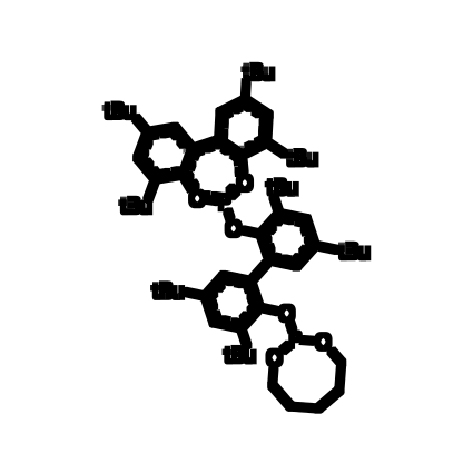 CC(C)(C)c1cc(-c2cc(C(C)(C)C)cc(C(C)(C)C)c2Op2oc3c(C(C)(C)C)cc(C(C)(C)C)cc3c3cc(C(C)(C)C)cc(C(C)(C)C)c3o2)c(OP2OCCCCCO2)c(C(C)(C)C)c1